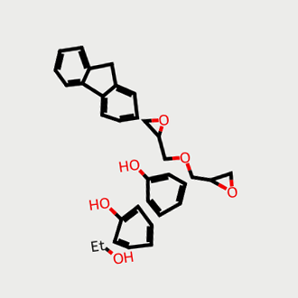 C(OCC1CO1)C1CO1.CCO.Oc1ccccc1.Oc1ccccc1.c1ccc2c(c1)Cc1ccccc1-2